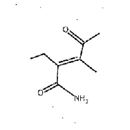 CCC(C(N)=O)=C(C)C(C)=O